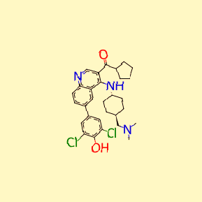 CN(C)C[C@H]1CC[C@H](Nc2c(C(=O)C3CCCC3)cnc3ccc(-c4cc(Cl)c(O)c(Cl)c4)cc23)CC1